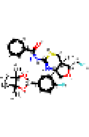 CC1(C)OB(c2ccc(F)c([C@@]34CO[C@@H](CF)[C@@H]3CSC(NC(=O)c3ccccc3)=N4)c2)OC1(C)C